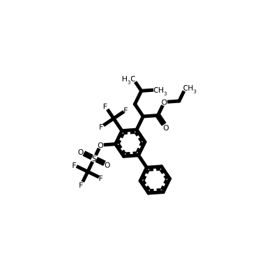 CCOC(=O)C(CC(C)C)c1cc(-c2ccccc2)cc(OS(=O)(=O)C(F)(F)F)c1C(F)(F)F